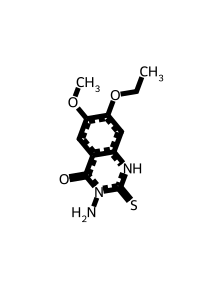 CCOc1cc2[nH]c(=S)n(N)c(=O)c2cc1OC